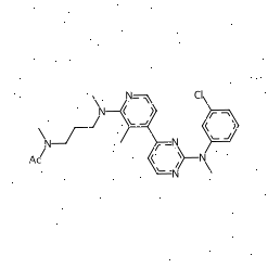 CC(=O)N(C)CCCN(C)c1nccc(-c2ccnc(N(C)c3cccc(Cl)c3)n2)c1C